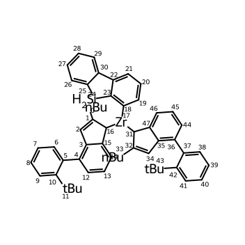 CCCCC1=Cc2c(-c3ccccc3C(C)(C)C)cccc2[CH]1[Zr]([c]1cccc2c1[SiH2]c1ccccc1-2)[CH]1C(CCCC)=Cc2c(-c3ccccc3C(C)(C)C)cccc21